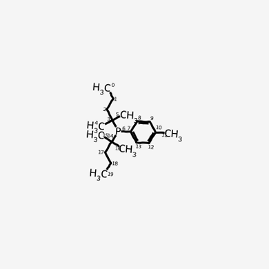 CCCC(C)(C)P(c1ccc(C)cc1)C(C)(C)CCC